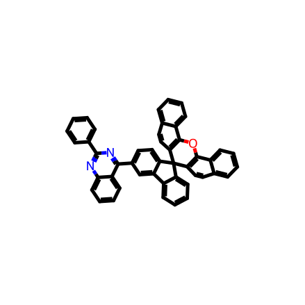 c1ccc(-c2nc(-c3ccc4c(c3)-c3ccccc3C43c4ccc5ccccc5c4Oc4c3ccc3ccccc43)c3ccccc3n2)cc1